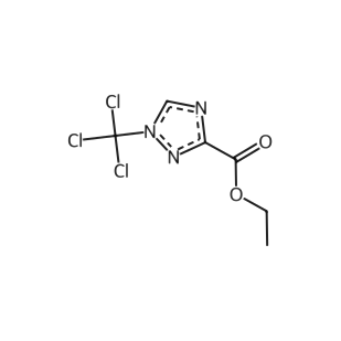 CCOC(=O)c1ncn(C(Cl)(Cl)Cl)n1